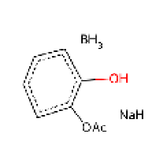 B.CC(=O)Oc1ccccc1O.[NaH]